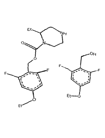 CCOc1cc(F)c(CO)c(F)c1.CCOc1cc(F)c(COC(=O)N2CCNCC2CC)c(F)c1